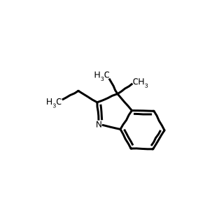 CCC1=Nc2ccccc2C1(C)C